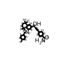 Cc1ccc(CN(C)c2cc(C(O)C#Cc3ccc(C(N)=O)cc3)cc3c2C(C)(C)CCC3(C)C)cc1